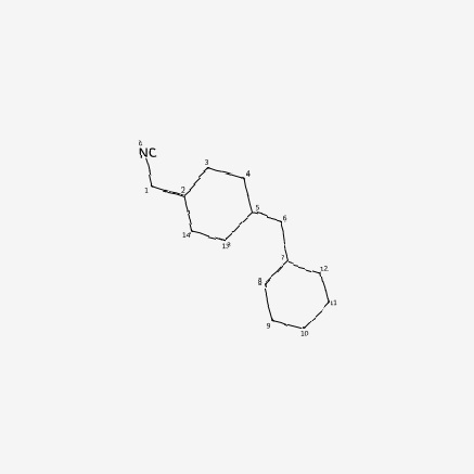 [C-]#[N+]CC1CCC(CC2CCCCC2)CC1